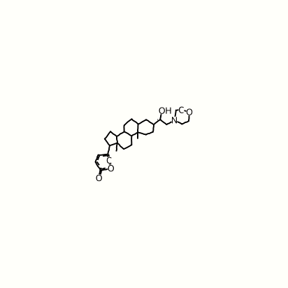 CC12CCC([C](O)CN3CCOCC3)CC1CCC1C2CCC2(C)C(c3ccc(=O)oc3)CCC12